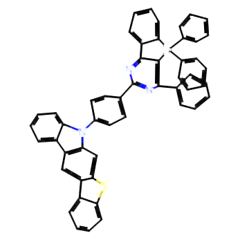 c1ccc(-c2nc(-c3ccc(-n4c5ccccc5c5cc6c(cc54)sc4ccccc46)cc3)nc3c2[Si](c2ccccc2)(c2ccccc2)c2ccccc2-3)cc1